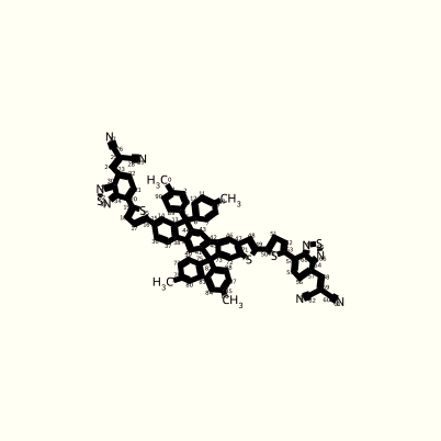 Cc1ccc(C2(c3ccc(C)cc3)c3cc(-c4ccc(-c5ccc(C=C(C#N)C#N)c6nsnc56)s4)ccc3-c3cc4c(cc32)-c2cc3cc(-c5ccc(-c6ccc(C=C(C#N)C#N)c7nsnc67)s5)sc3cc2C4(c2ccc(C)cc2)c2ccc(C)cc2)cc1